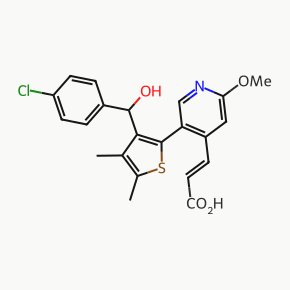 COc1cc(/C=C/C(=O)O)c(-c2sc(C)c(C)c2C(O)c2ccc(Cl)cc2)cn1